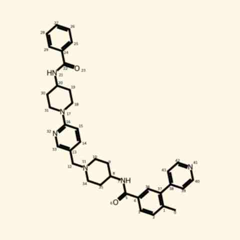 Cc1ccc(C(=O)NC2CCN(Cc3ccc(N4CCC(NC(=O)c5ccccc5)CC4)nc3)CC2)cc1-c1ccncc1